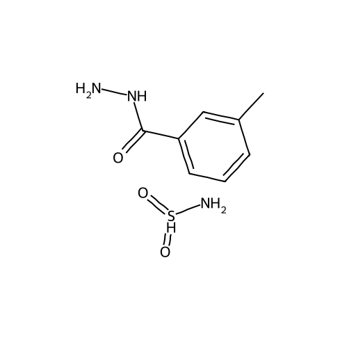 Cc1cccc(C(=O)NN)c1.N[SH](=O)=O